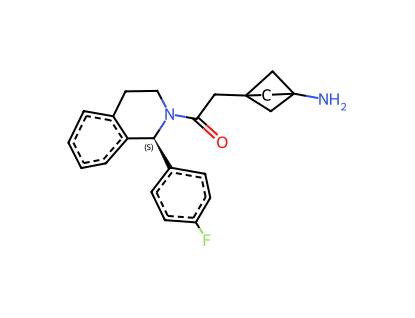 NC12CC(CC(=O)N3CCc4ccccc4[C@@H]3c3ccc(F)cc3)(C1)C2